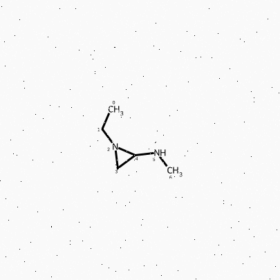 CCN1CC1NC